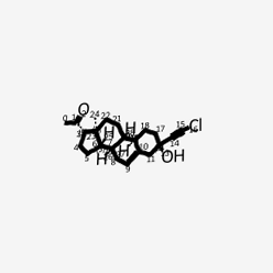 CC(=O)[C@H]1CC[C@H]2[C@@H]3CC=C4C[C@@](O)(C#CCl)CC[C@@H]4[C@H]3CC[C@]12C